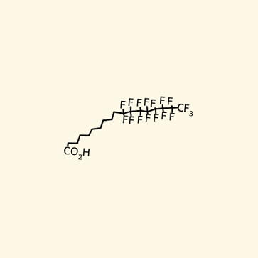 O=C(O)CCCCCCCCCC(F)(F)C(F)(F)C(F)(F)C(F)(F)C(F)(F)C(F)(F)C(F)(F)C(F)(F)F